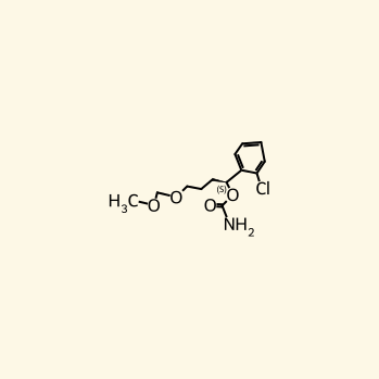 COCOCCC[C@H](OC(N)=O)c1ccccc1Cl